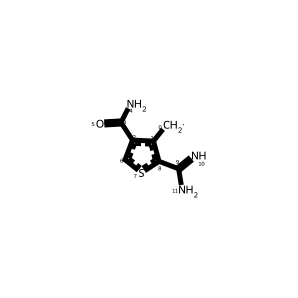 [CH2]c1c(C(N)=O)csc1C(=N)N